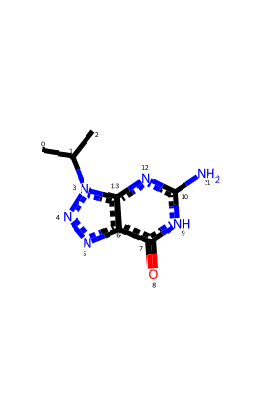 CC(C)n1nnc2c(=O)[nH]c(N)nc21